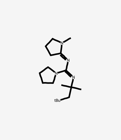 CN1CCCC1=NC(=NC(C)(C)CC(C)(C)C)N1CCCC1